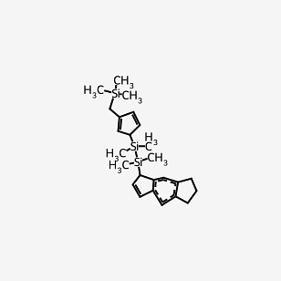 C[Si](C)(C)CC1=CC([Si](C)(C)[Si](C)(C)C2C=Cc3cc4c(cc32)CCC4)C=C1